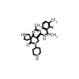 Cc1nc(N[C@H](C)c2cccc(C(F)(F)F)c2F)c2c(n1)C1(CCNC1)C(=O)N(C1CCNCC1)C2